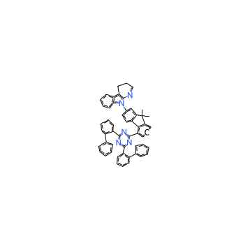 CC1(C)c2cc(-n3c4c(c5ccccc53)CCC=N4)ccc2-c2c(-c3nc(-c4ccccc4-c4ccccc4)nc(-c4ccccc4-c4ccccc4)n3)cccc21